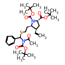 C=C[C@@H]1C[C@H](C(=O)OC(C)(C)C)N(C(=O)OC(C)(C)C)[C@@H]1CCSC(c1ccccc1)N(C(C)=O)C(=O)OC(C)(C)C